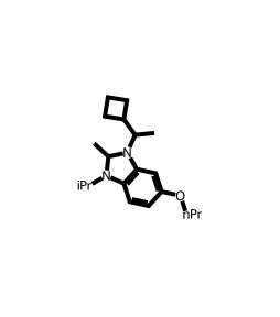 CCCOc1ccc2c(c1)N(C(C)C1CCC1)C(C)N2C(C)C